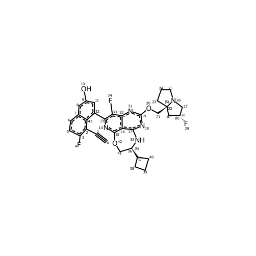 C#Cc1c(F)ccc2cc(O)cc(-c3nc4c5c(nc(OC[C@@]67CCCN6C[C@H](F)C7)nc5c3F)N[C@@H](C3CCC3)CO4)c12